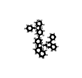 c1ccc(-c2nc(-n3c4cc(-c5ccc6c7ccncc7n(-c7ccccc7)c6c5)ccc4c4ccc5ccccc5c43)nc3ccccc23)cc1